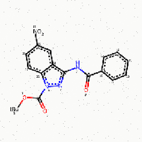 CC(C)(C)OC(=O)n1nc(NC(=O)c2ccccc2)c2cc([N+](=O)[O-])ccc21